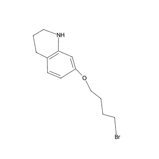 BrCCCCOc1ccc2c(c1)NCCC2